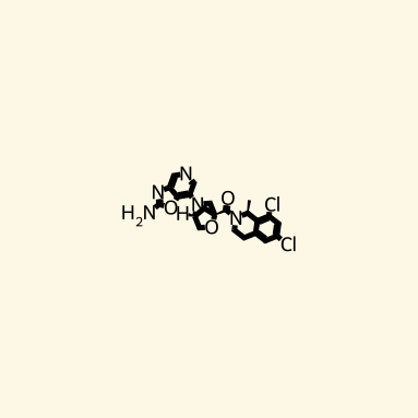 C[C@H]1c2c(Cl)cc(Cl)cc2CCN1C(=O)[C@]12C[C@H](CO1)N(c1cncc3nc(N)oc13)C2